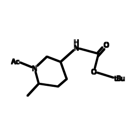 CC(=O)N1CC(NC(=O)OC(C)(C)C)CCC1C